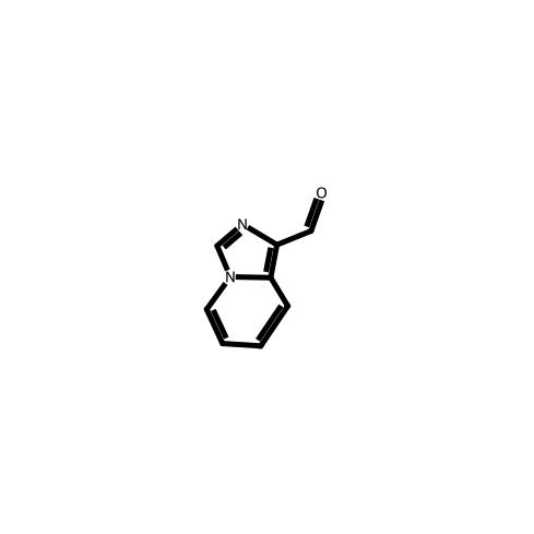 O=Cc1ncn2ccccc12